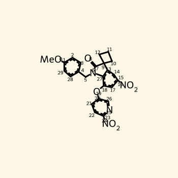 COc1ccc(CN2C(=O)C3(CCC3)c3cc([N+](=O)[O-])cc(Oc4ccc([N+](=O)[O-])nc4)c32)cc1